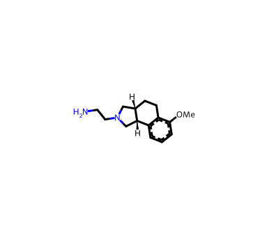 COc1cccc2c1CC[C@H]1CN(CCN)C[C@@H]21